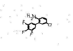 Nc1ccc(Cl)cc1-c1cc(F)c(F)c(F)c1